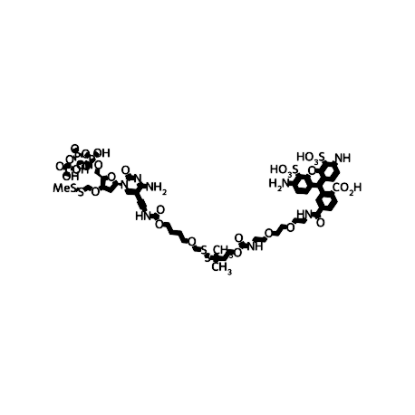 CSSCOC1C[C@H](n2cc(C#CNC(=O)OCCCCOCSSC(C)(C)CCOC(=O)NCCOCCOCCNC(=O)c3ccc(C(=O)O)c(-c4c5ccc(=N)c(S(=O)(=O)O)c-5oc5c(S(=O)(=O)O)c(N)ccc45)c3)c(N)nc2=O)O[C@@H]1COP(=O)(O)OP(=O)(O)OP(=O)(O)O